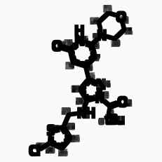 CC(C)(C)C(=O)n1nc(-c2cc(N3CCOCC3)[nH]c(=O)c2)cc1NCc1ccc(Cl)s1